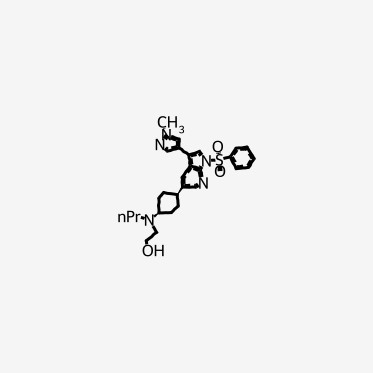 CCCN(CCO)[C@H]1CC[C@@H](c2cnc3c(c2)c(-c2cnn(C)c2)cn3S(=O)(=O)c2ccccc2)CC1